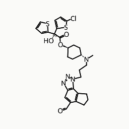 CN(CCCn1nnc2cc(C=O)c3c(c21)CCC3)[C@H]1CC[C@H](OC(=O)[C@@](O)(c2cccs2)c2ccc(Cl)s2)CC1